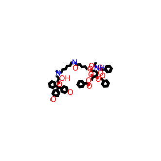 COc1ccc(C(OC[C@@H](O)CN(C)CCCCCCN(C)C(=O)CCCCOC2OC(COC(=O)c3ccccc3)C(OC(=O)c3ccccc3)C(OC(=O)c3ccccc3)C2NC(C)=O)(c2ccccc2)c2ccc(OC)cc2)cc1